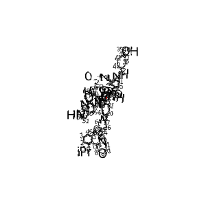 CC(C)c1ccccc1[C@H]1COCCN1[C@H]1CC2(CCN(c3ccc(C(=O)NS(=O)(=O)c4ccc(NC[C@H]5CC[C@](C)(O)CC5)c([N+](=O)[O-])c4)c(N4c5cc6cc[nH]c6nc5O[C@@H]5CCOC[C@H]54)c3)CC2)[C@@H]1C